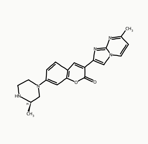 Cc1ccn2cc(-c3cc4ccc(N5CCN[C@H](C)C5)cc4oc3=O)nc2n1